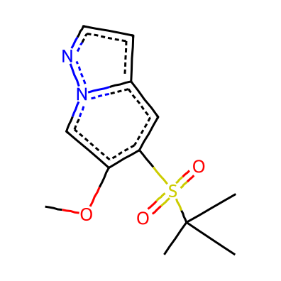 COc1cn2nccc2cc1S(=O)(=O)C(C)(C)C